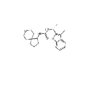 Cc1c([C@@H](C)NC(=O)NC2CCCC23CCOCC3)oc2ccccc12